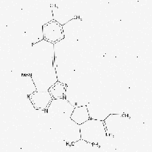 C=CC(=C)N1C[C@@H](n2nc(C#Cc3cc(C)c(C)cc3F)c3c(NC)ncnc32)CC1C(C)P